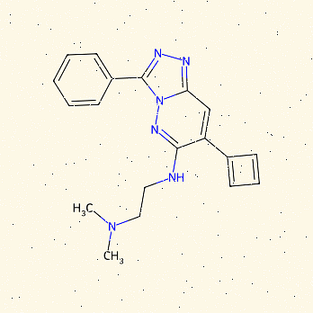 CN(C)CCNc1nn2c(-c3ccccc3)nnc2cc1C1=CC=C1